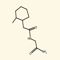 CC1CCCCC1CC(=O)NCC(N)=O